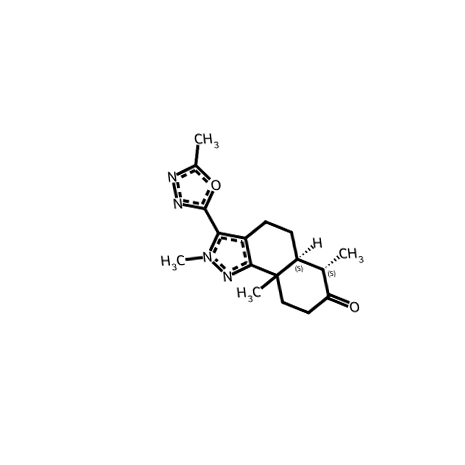 Cc1nnc(-c2c3c(nn2C)C2(C)CCC(=O)[C@@H](C)[C@@H]2CC3)o1